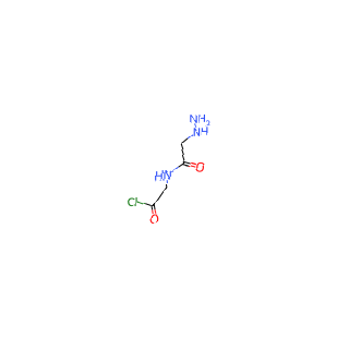 NNCC(=O)NCC(=O)Cl